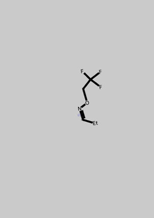 CC/[C]=N\OCC(F)(F)F